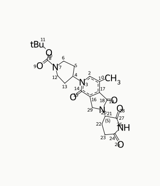 Cc1cn(C2CCN(C(=O)OC(C)(C)C)CC2)c(=O)c2c1C(=O)N([C@H]1CCC(=O)NC1=O)C2